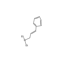 CCN(CC)C/C=C/c1ccccc1